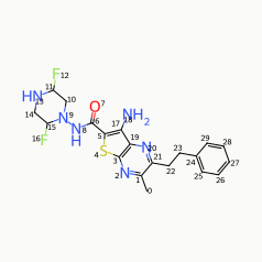 Cc1nc2sc(C(=O)NN3CC(F)NCC3F)c(N)c2nc1CCc1ccccc1